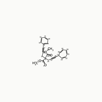 COC(=O)C(CC#Cc1ccccc1)(CC#CC1C=CC=CC=C1)C(=O)OC